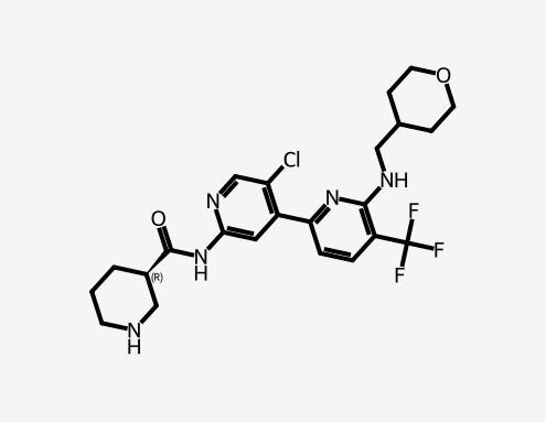 O=C(Nc1cc(-c2ccc(C(F)(F)F)c(NCC3CCOCC3)n2)c(Cl)cn1)[C@@H]1CCCNC1